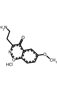 COc1ccc2onc(CCN)c(=O)c2c1.Cl